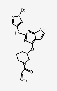 C=CC(=O)N1CCCC(Oc2nc(Nc3cnn(CC)c3)nc3[nH]ccc23)C1